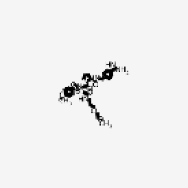 COCCOCCCNC(=O)C[C@H](NS(=O)(=O)c1ccc(OC)cc1)C(=O)N1CCC[C@@H]1C(=O)NCc1ccc(C(=N)N)cc1